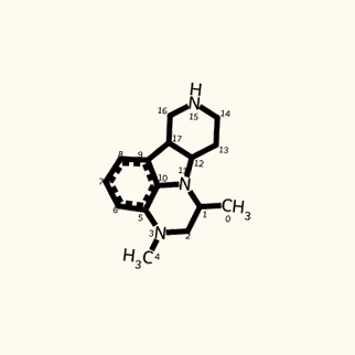 CC1CN(C)c2cccc3c2N1C1CCNCC31